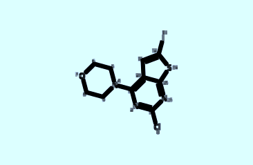 Clc1nc(N2CCOCC2)c2cc(I)sc2n1